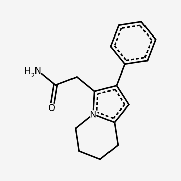 NC(=O)Cc1c(-c2ccccc2)cc2n1CCCC2